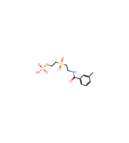 Cc1cccc(C(=O)NCCS(=O)(=O)CCOS(=O)(=O)O)c1